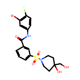 O=C(Nc1ccc(F)c(Br)c1)c1cccc(S(=O)(=O)N2CCC(O)(CO)CC2)c1